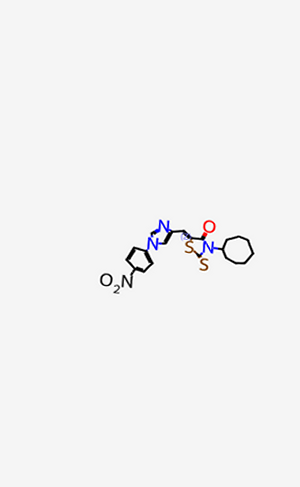 O=C1/C(=C/c2cn(-c3ccc([N+](=O)[O-])cc3)cn2)SC(=S)N1C1CCCCCCC1